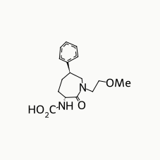 COCCN1C[C@H](c2ccccc2)CC[C@@H](NC(=O)O)C1=O